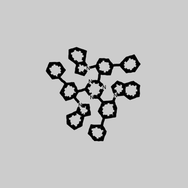 c1ccc(-c2ccc(-n3ccc4ccccc43)c(-c3nc(-c4cc(-c5ccccc5)ccc4-n4ccc5ccccc54)nc(-c4cc(-c5ccccc5)ccc4-n4ccc5ccccc54)n3)c2)cc1